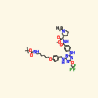 BN1CCCC(C(NC(=O)c2ccc(Nc3nc(NCc4ccc(OCCCCCCNC(=O)OC(C)(C)C)cc4)nc(OCC(F)(F)F)n3)cc2)C(=O)OC)C1